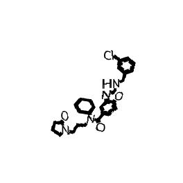 O=C1CCCN1CCCN(C(=O)c1ccc2oc(NCc3cccc(Cl)c3)nc2c1)C1CCCCC1